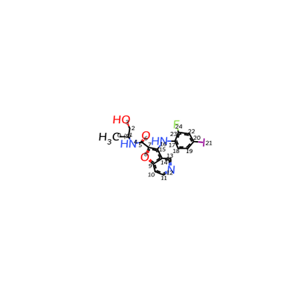 C[C@@H](CO)NC(=O)c1oc2ccncc2c1Nc1ccc(I)cc1F